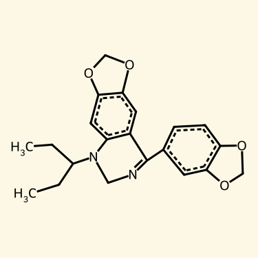 CCC(CC)N1CN=C(c2ccc3c(c2)OCO3)c2cc3c(cc21)OCO3